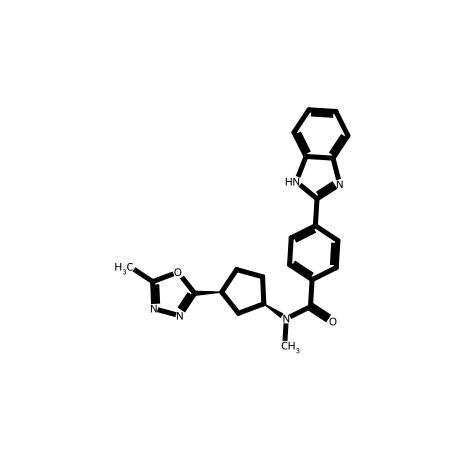 Cc1nnc([C@H]2CC[C@@H](N(C)C(=O)c3ccc(-c4nc5ccccc5[nH]4)cc3)C2)o1